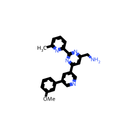 COc1cccc(-c2cncc(-c3cc(CN)nc(-c4cccc(C)n4)n3)c2)c1